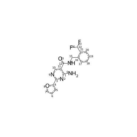 Nc1nc(-c2ccco2)ncc1C(=O)NCc1ccccc1C(F)F